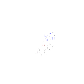 Cc1ccc2c(oc3cc(F)ccc32)c1N1c2nccnc2N(C)C1C